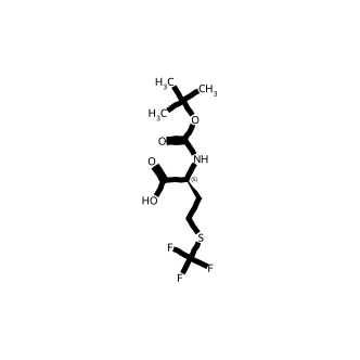 CC(C)(C)OC(=O)N[C@@H](CCSC(F)(F)F)C(=O)O